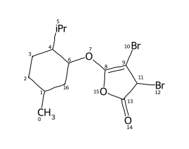 CC1CCC(C(C)C)C(OC2=C(Br)C(Br)C(=O)O2)C1